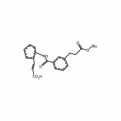 CC(C)(C)OC(=O)CCc1cccc(C(=O)Nc2ccccc2/C=C/C(=O)O)c1